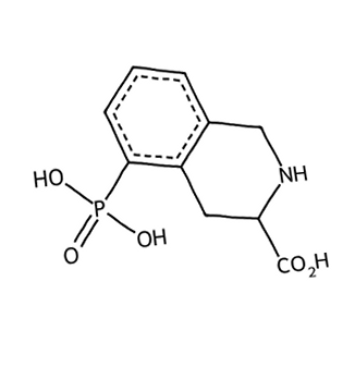 O=C(O)C1Cc2c(cccc2P(=O)(O)O)CN1